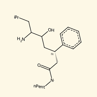 CCCCC[N]C(=O)C[C@H](CC(O)C(N)CC(C)C)c1ccccc1